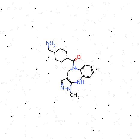 Cn1ncc2c1Nc1ccccc1N(C(=O)C1CCC(CN)CC1)C2